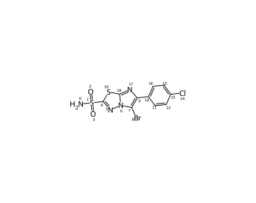 NS(=O)(=O)c1nn2c(Br)c(-c3ccc(Cl)cc3)nc2s1